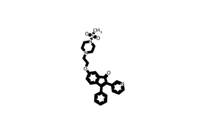 CS(=O)(=O)N1CCN(CCOc2ccc3c(c2)C(=O)C(c2cccnc2)=C3c2ccccc2)CC1